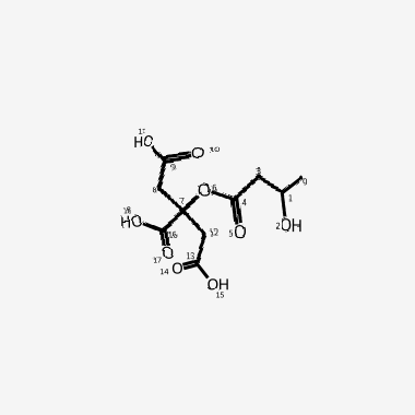 CC(O)CC(=O)OC(CC(=O)O)(CC(=O)O)C(=O)O